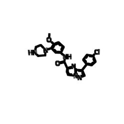 COc1ccc(NC(=O)c2ccn3ncc(-c4ccc(Cl)cc4)c3n2)cc1N1CCNCC1